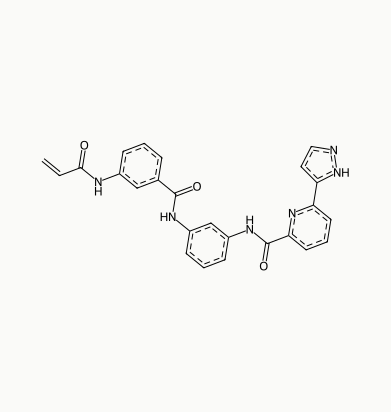 C=CC(=O)Nc1cccc(C(=O)Nc2cccc(NC(=O)c3cccc(-c4ccn[nH]4)n3)c2)c1